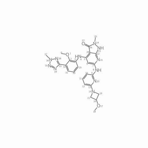 COc1c(Nc2cc(Nc3cccc(N4CC(OC)C4)n3)nc3[nH]n(C)c(=O)c23)cccc1-c1nnn(C)n1